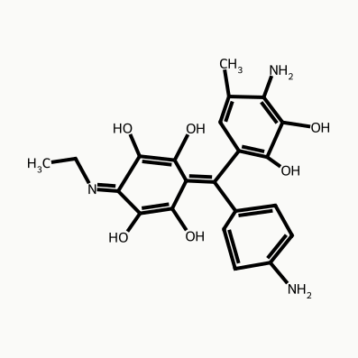 CCN=C1C(O)=C(O)C(=C(c2ccc(N)cc2)c2cc(C)c(N)c(O)c2O)C(O)=C1O